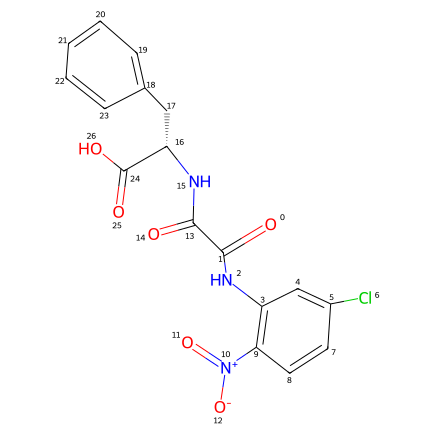 O=C(Nc1cc(Cl)ccc1[N+](=O)[O-])C(=O)N[C@@H](Cc1ccccc1)C(=O)O